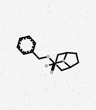 O=C(OCc1ccccc1)N1C2CCC1C[S+]([O-])C2